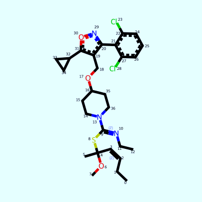 CC/C=C\C(C)(OC)S/C(=N\CC)N1CCC(OCc2c(-c3c(Cl)cccc3Cl)noc2C2CC2)CC1